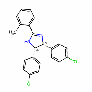 Cc1ccccc1C1=N[C@H](c2ccc(Cl)cc2)[C@H](c2ccc(Cl)cc2)N1